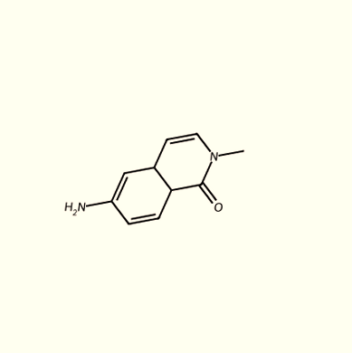 CN1C=CC2C=C(N)C=CC2C1=O